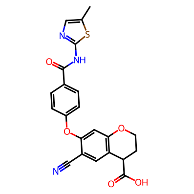 Cc1cnc(NC(=O)c2ccc(Oc3cc4c(cc3C#N)C(C(=O)O)CCO4)cc2)s1